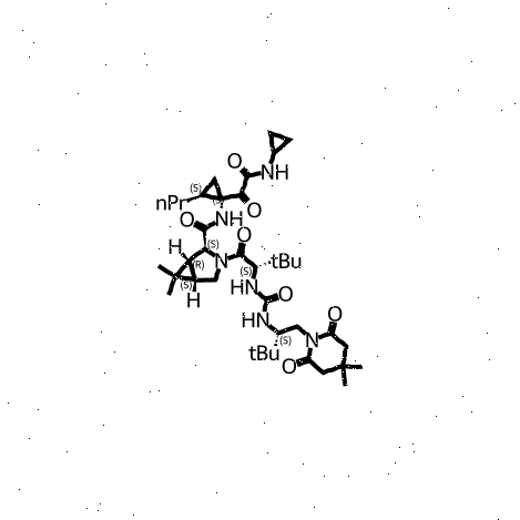 CCC[C@H]1C[C@@]1(NC(=O)[C@@H]1[C@@H]2[C@H](CN1C(=O)[C@@H](NC(=O)N[C@H](CN1C(=O)CC(C)(C)CC1=O)C(C)(C)C)C(C)(C)C)C2(C)C)C(=O)C(=O)NC1CC1